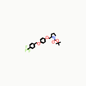 CC(C)(C)OC(=O)N1CCCC1COc1ccc(OCc2ccc(C(F)(F)F)cc2)cc1